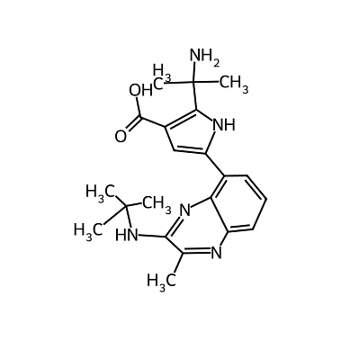 Cc1nc2cccc(-c3cc(C(=O)O)c(C(C)(C)N)[nH]3)c2nc1NC(C)(C)C